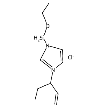 C=CC(CC)[n+]1ccn([SiH2]OCC)c1.[Cl-]